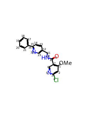 COc1cc(Cl)ncc1C(=O)NCc1ccc(-c2ccccc2)nc1